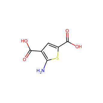 Nc1sc(C(=O)O)cc1C(=O)O